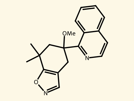 COC1(c2nccc3ccccc23)Cc2cnoc2C(C)(C)C1